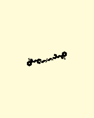 C=CC(/C=C/c1cn(C)c2ccccc12)=C\C=N\CCSSCC[n+]1ccc(/C=C/c2cn(C)c3ccccc23)cc1